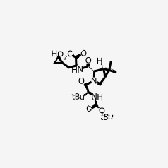 CC(C)(C)OC(=O)N[C@H](C(=O)N1CC2[C@@H]([C@H]1C(=O)NC(CC1CC1)C(=O)C(=O)O)C2(C)C)C(C)(C)C